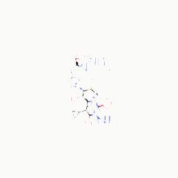 COc1c(N2CCC(Cc3coc(N)n3)C2)c(F)cn2c(=O)n(N)c(=O)c(C3CC3)c12